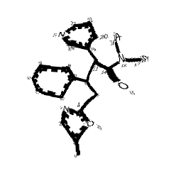 Cc1cnc(CC(c2ccccc2)C(C(=O)N(C(C)C)C(C)C)c2cccnc2)o1